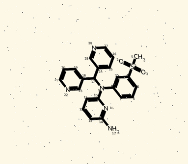 CS(=O)(=O)c1cccc(N(c2cccc(N)n2)C(c2cccnc2)c2cccnc2)c1